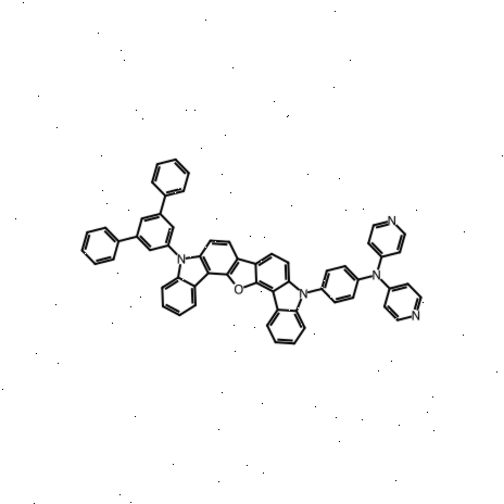 c1ccc(-c2cc(-c3ccccc3)cc(-n3c4ccccc4c4c5oc6c(ccc7c6c6ccccc6n7-c6ccc(N(c7ccncc7)c7ccncc7)cc6)c5ccc43)c2)cc1